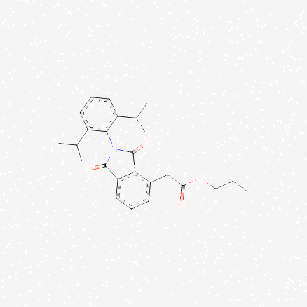 CCCOC(=O)Cc1cccc2c1C(=O)N(c1c(C(C)C)cccc1C(C)C)C2=O